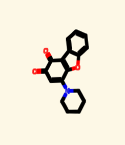 O=C1C=C(N2CCCCC2)c2oc3ccccc3c2C1=O